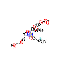 C=CC(=O)OCCCOc1ccc2cc(C(=O)Oc3ccc(/C=C/C(=O)Oc4cc(C)c(CCc5ccc(OCCCCCCOC(=O)C(=C)C)cc5)cc4N/C=C4/Oc5ccc(CCc6ccc(C#N)c(F)c6)cc5CS4)cc3OC)ccc2c1